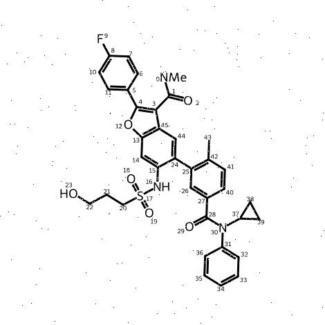 CNC(=O)c1c(-c2ccc(F)cc2)oc2cc(NS(=O)(=O)CCCO)c(-c3cc(C(=O)N(c4ccccc4)C4CC4)ccc3C)cc12